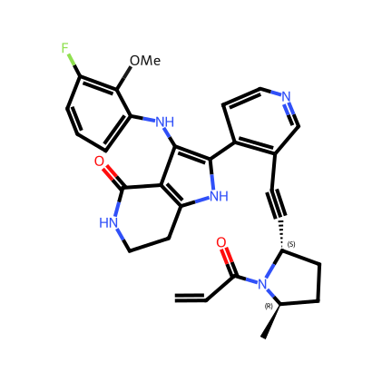 C=CC(=O)N1[C@H](C)CC[C@H]1C#Cc1cnccc1-c1[nH]c2c(c1Nc1cccc(F)c1OC)C(=O)NCC2